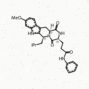 COc1ccc2c3c([nH]c2c1)[C@H](CC(C)C)N1C(=O)[C@H](CCC(=O)Nc2ccccc2)NC(=O)[C@@H]1C3